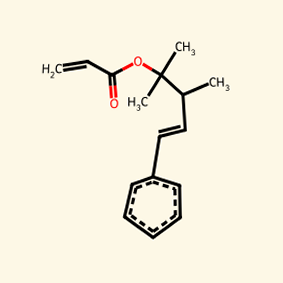 C=CC(=O)OC(C)(C)C(C)C=Cc1ccccc1